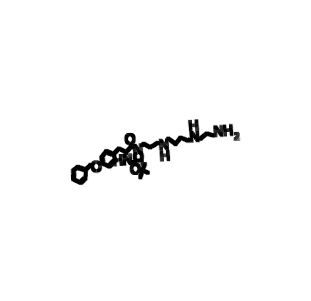 CC(C)(C)OC(=O)NC(Cc1ccc(OCc2ccccc2)cc1)C(=O)NCCCNCCCCNCCCN